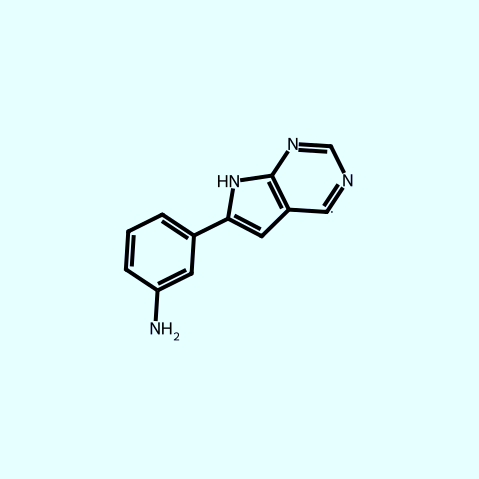 Nc1cccc(-c2cc3[c]ncnc3[nH]2)c1